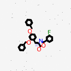 O=C1OC(c2cccc(F)c2)=N/C1=C\c1ccc(OCc2ccccc2)cc1OCc1ccccc1